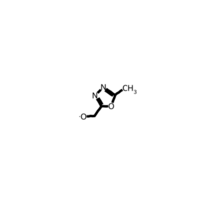 Cc1nnc(C[O])o1